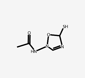 CC(=O)NN1C=NC(S)O1